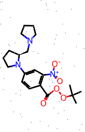 CC(C)(C)OOC(=O)c1ccc(N2CCC[C@H]2CN2CCCC2)cc1[N+](=O)[O-]